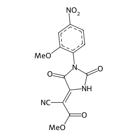 COC(=O)C(C#N)=C1NC(=O)N(c2ccc([N+](=O)[O-])cc2OC)C1=O